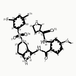 COc1ccc(C(=O)Nc2n[nH]c3c2CN(S(=O)(=O)c2cc(F)cc(F)c2)CC3)c(NC(=O)C2CCOC2)c1